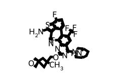 CC1(COc2nc(N3CC4CCC(C3)N4)c3cc(C(F)(F)F)c(-c4ccc(F)c5sc(N)c(C#N)c45)c(F)c3n2)CC2(COC2)C1